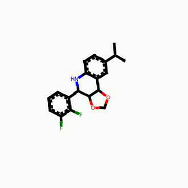 CC(C)c1ccc2c(c1)C1OCOC1C(c1cccc(F)c1F)N2